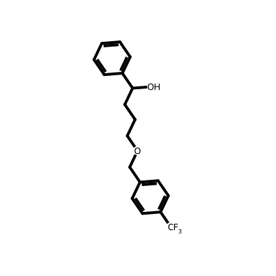 OC(CCCOCc1ccc(C(F)(F)F)cc1)c1ccccc1